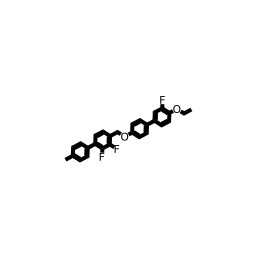 CCOc1ccc(-c2ccc(OCc3ccc(-c4ccc(C)cc4)c(F)c3F)cc2)cc1F